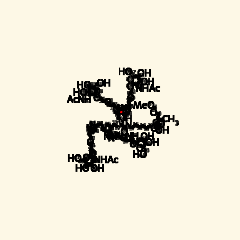 COCOCC[C@H](C)OP(=O)(O)OCCCCCCNC(=O)[C@H](CCCCN(Cc1cn(CCOCCO[C@@H]2O[C@H](CO)[C@H](O)[C@H](O)[C@H]2NC(C)=O)nn1)Cc1cn(CCOCCO[C@@H]2O[C@H](CO)[C@H](O)[C@H](O)[C@H]2NC(C)=O)nn1)N(Cc1cn(CCOCCO[C@@H]2O[C@H](CO)[C@H](O)[C@H](O)[C@H]2NC(C)=O)nn1)Cc1cn(CCOCCO[C@@H]2O[C@H](CO)[C@H](O)[C@H](O)[C@H]2NC(C)=O)nn1